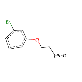 CCCCCCCOc1cccc(Br)c1